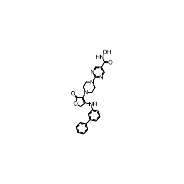 O=C1OCC(Nc2cccc(-c3ccccc3)c2)=C1N1CCN(c2ncc(C(=O)NO)cn2)CC1